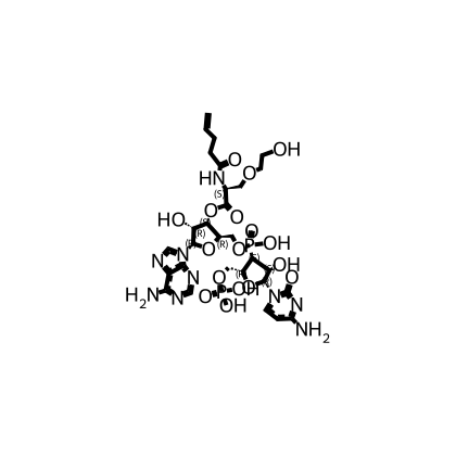 C=CCCC(=O)N[C@@H](COCCO)C(=O)O[C@H]1[C@@H](O)[C@H](n2cnc3c(N)ncnc32)O[C@@H]1COP(=O)(O)[C@H]1[C@@H](O)[C@H](n2ccc(N)nc2=O)O[C@@H]1COP(=O)(O)O